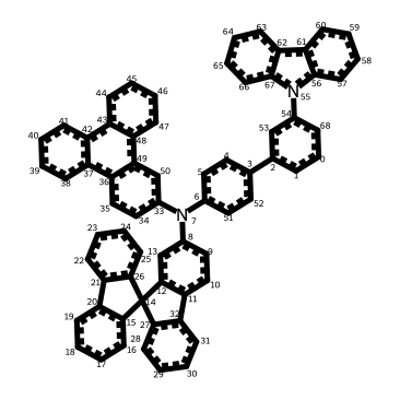 c1cc(-c2ccc(N(c3ccc4c(c3)C3(c5ccccc5-c5ccccc53)c3ccccc3-4)c3ccc4c5ccccc5c5ccccc5c4c3)cc2)cc(-n2c3ccccc3c3ccccc32)c1